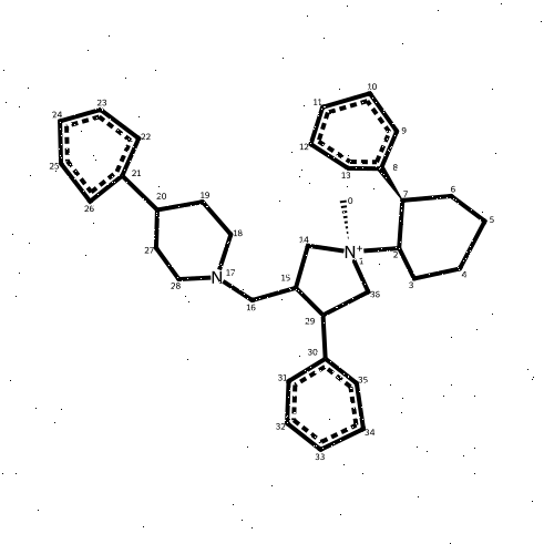 C[N@@+]1(C2CCCC[C@@H]2c2ccccc2)CC(CN2CCC(c3ccccc3)CC2)C(c2ccccc2)C1